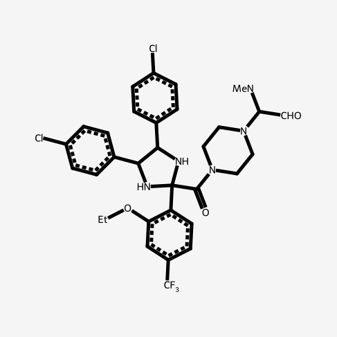 CCOc1cc(C(F)(F)F)ccc1C1(C(=O)N2CCN(C(C=O)NC)CC2)NC(c2ccc(Cl)cc2)C(c2ccc(Cl)cc2)N1